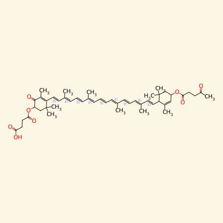 CC(=O)CCC(=O)OC1C=C(C)C(/C=C/C(C)=C/C=C/C(C)=C/C=C/C=C(C)/C=C/C=C(C)/C=C/C2=C(C)C(=O)C(OC(=O)CCC(=O)O)CC2(C)C)C(C)(C)C1